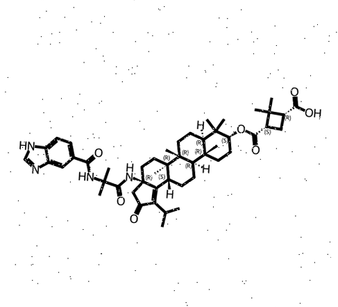 CC(C)C1=C2[C@H]3CC[C@@H]4[C@@]5(C)CC[C@H](OC(=O)[C@H]6C[C@@H](C(=O)O)C6(C)C)C(C)(C)[C@@H]5CC[C@@]4(C)[C@]3(C)CC[C@@]2(NC(=O)C(C)(C)NC(=O)c2ccc3[nH]cnc3c2)CC1=O